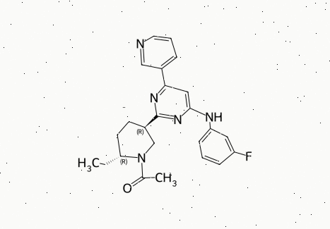 CC[C@@H]1CC[C@@H](c2nc(Nc3cccc(F)c3)cc(-c3cccnc3)n2)CN1C(C)=O